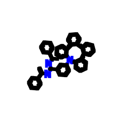 C=C(/N=C(\N=C(/C)c1ccccc1)c1cccc(-n2c3ccccc3c3ccccc3c3ccccc3c3ccccc32)c1)c1ccccc1